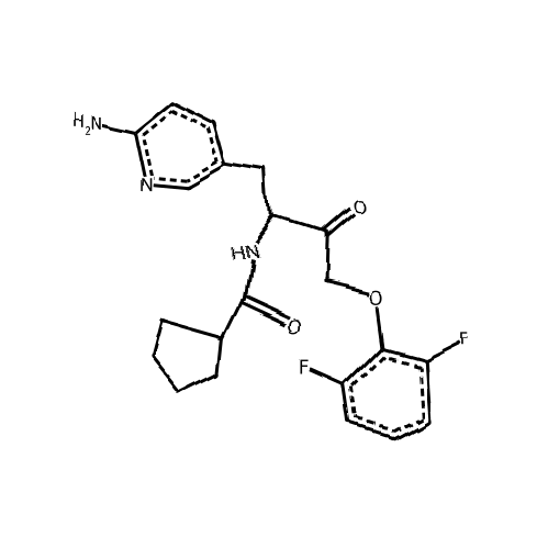 Nc1ccc(CC(NC(=O)C2CCCC2)C(=O)COc2c(F)cccc2F)cn1